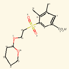 Cc1cc(C(=O)O)cc(S(=O)(=O)CCOC2CCCCO2)c1C